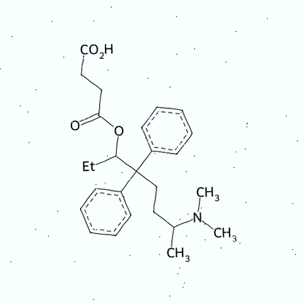 CCC(OC(=O)CCC(=O)O)C(CCC(C)N(C)C)(c1ccccc1)c1ccccc1